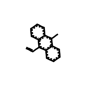 C=Cc1c2ccccc2c(C)c2ccccc12